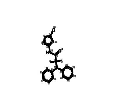 CC(C)(C(=O)Nc1ncc(Cl)s1)C(c1ccccc1)c1ccccc1